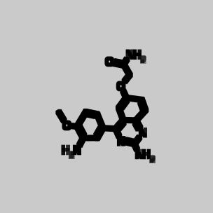 COc1ccc(-c2nc(N)nc3ccc(OCC(N)=O)cc23)cc1N